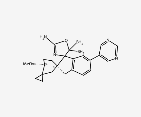 BC1(B)OC(N)=NC12c1cc(-c3cncnc3)ccc1C[C@]21CC[C@@H](OC)C2(CC2)C1